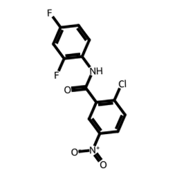 O=C(Nc1ccc(F)cc1F)c1cc([N+](=O)[O-])ccc1Cl